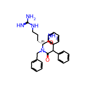 N=C(N)NCCC[C@H](C(N)=O)N(Cc1ccccc1)C(=O)C(c1ccccc1)c1ccccc1